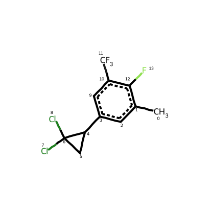 Cc1cc(C2CC2(Cl)Cl)cc(C(F)(F)F)c1F